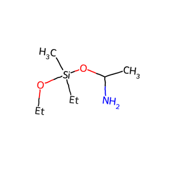 CCO[Si](C)(CC)OC(C)N